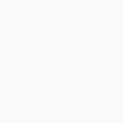 CCCCCCCCCCCCCCCCC[N+](C)(C)CCCCCCCCCCCCCCCC.[Cl-]